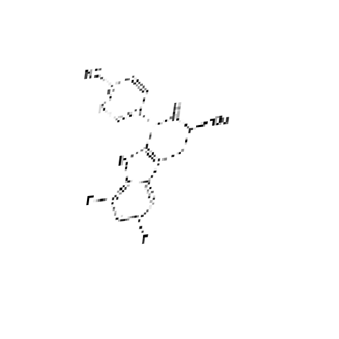 CCCC[C@H]1Cc2c([nH]c3c(F)cc(F)cc23)[C@H](c2ccc(C#N)nc2)N1